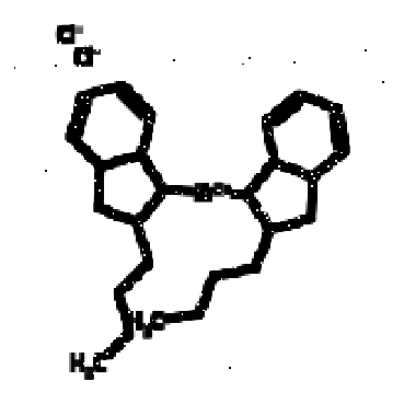 CCCCC1CC2C=CC=CC2[CH]1[Zr+2][CH]1C(CCCC)CC2C=CC=CC21.[Cl-].[Cl-]